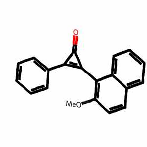 COc1ccc2ccccc2c1-c1c(-c2ccccc2)c1=O